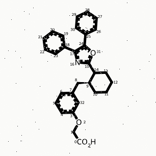 O=C(O)COc1cccc(C[C@@H]2CCCCC2c2nc(-c3ccccc3)c(-c3ccccc3)o2)c1